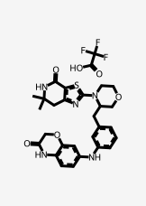 CC1(C)Cc2nc(N3CCOCC3Cc3cccc(Nc4ccc5c(c4)OCC(=O)N5)c3)sc2C(=O)N1.O=C(O)C(F)(F)F